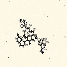 C#Cc1c(F)ccc2cccc(-c3ncc4c(N(C)[C@@H]5CCN(C(=O)OC(C)(C)C)[C@@H]5C)nc(OCC56CCCN5C/C(=C\F)C6)nc4c3F)c12